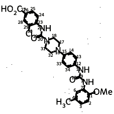 COc1ccc(C)cc1NC(=O)Nc1ccc(N2CCN(C(=O)Nc3ccc(C(=O)O)cc3Cl)CC2)cc1